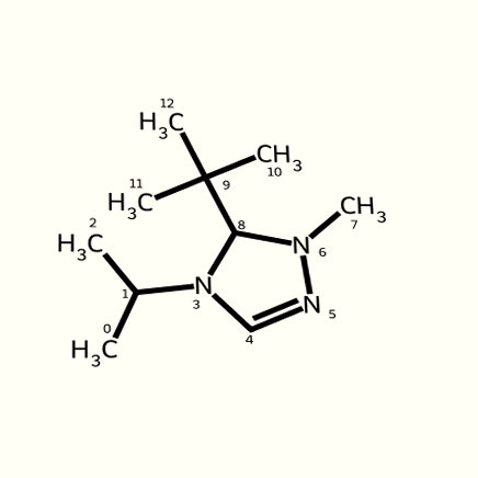 CC(C)N1C=NN(C)C1C(C)(C)C